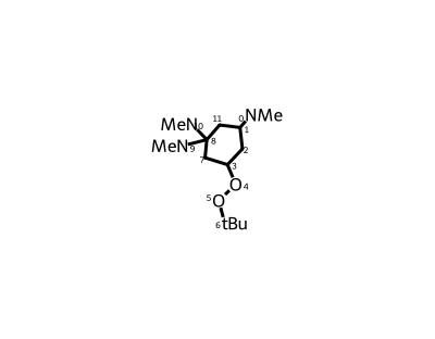 CNC1CC(OOC(C)(C)C)CC(NC)(NC)C1